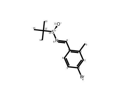 Cc1cc(Br)ccc1/C=N/[S@+]([O-])C(C)(C)C